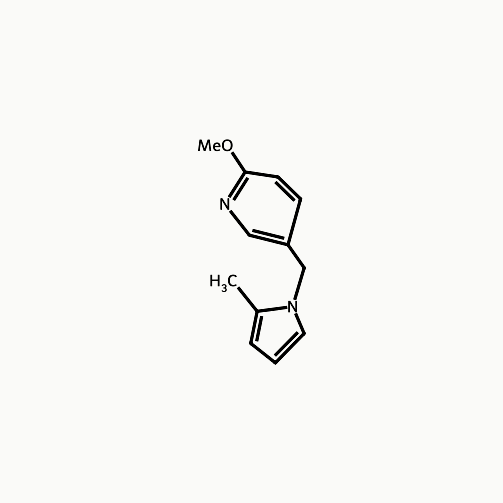 COc1ccc(Cn2cccc2C)cn1